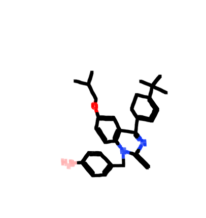 Bc1ccc(CN2C(=C)N=C(C3=C=C=C(C(C)(C)C)CC3)c3cc(OCC(C)C)ccc32)cc1